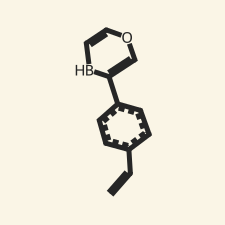 C=Cc1ccc(C2=COC=CB2)cc1